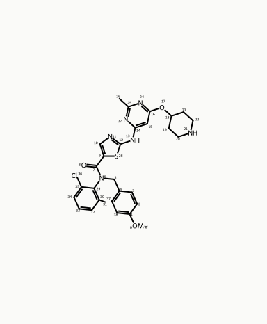 COc1ccc(CN(C(=O)c2cnc(Nc3cc(OC4CCNCC4)nc(C)n3)s2)c2c(C)cccc2Cl)cc1